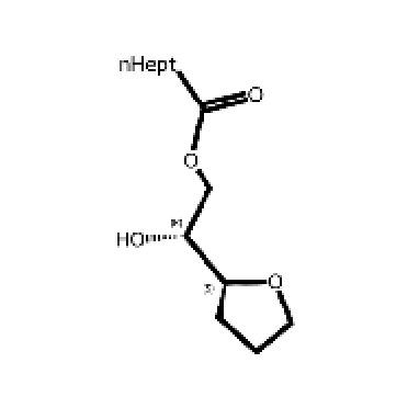 CCCCCCCC(=O)OC[C@@H](O)[C@@H]1CCCO1